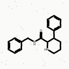 O=C(NCc1ccccc1)C1NCCCC1c1ccccc1